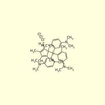 CC1=C(C)[C]([Ti+3])([Si](c2cc(N(C)C)ccc2C)(c2cc(N(C)C)ccc2C)c2cc(N(C)C)ccc2C)C(C)=C1C.[Cl-].[Cl-].[Cl-]